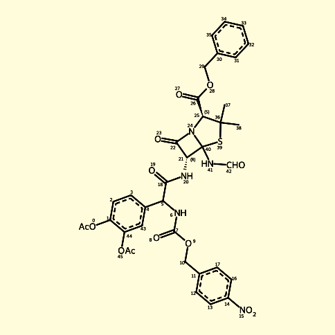 CC(=O)Oc1ccc(C(NC(=O)OCc2ccc([N+](=O)[O-])cc2)C(=O)N[C@@H]2C(=O)N3[C@@H](C(=O)OCc4ccccc4)C(C)(C)SC23NC=O)cc1OC(C)=O